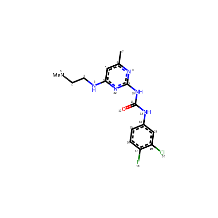 CNCCNc1cc(C)nc(NC(=O)Nc2ccc(F)c(Cl)c2)n1